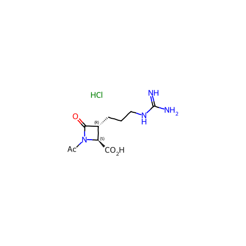 CC(=O)N1C(=O)[C@H](CCCNC(=N)N)[C@H]1C(=O)O.Cl